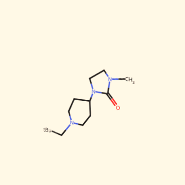 CN1CCN(C2CCN(CC(C)(C)C)CC2)C1=O